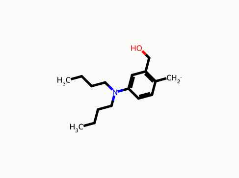 [CH2]c1ccc(N(CCCC)CCCC)cc1CO